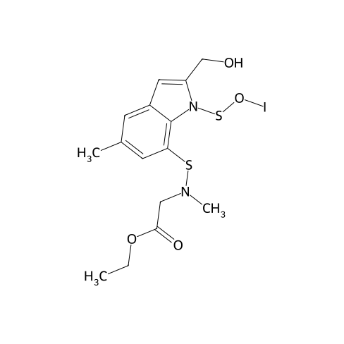 CCOC(=O)CN(C)Sc1cc(C)cc2cc(CO)n(SOI)c12